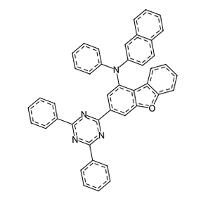 c1ccc(-c2nc(-c3ccccc3)nc(-c3cc(N(c4ccccc4)c4ccc5ccccc5c4)c4c(c3)oc3ccccc34)n2)cc1